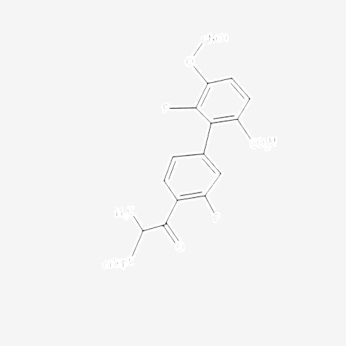 CCCCCCCCCOc1ccc(C(=O)O)c(-c2ccc(C(=O)C(C)CCCCCCC)c(F)c2)c1F